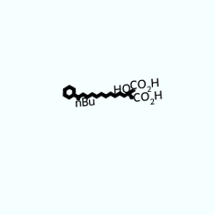 CCCCC(CCCCCCCCCCC(O)(CC(=O)O)CC(=O)O)C1CCCCC1